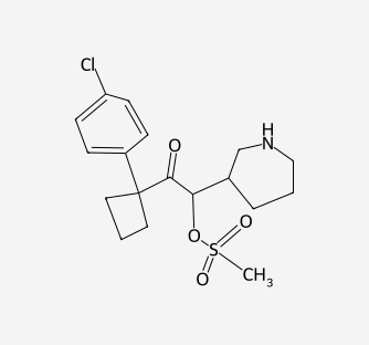 CS(=O)(=O)OC(C(=O)C1(c2ccc(Cl)cc2)CCC1)C1CCCNC1